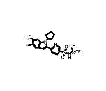 Cc1cc2c(cc1F)cc(-c1ccc(S(=O)(=O)N[C@@H](C)C(F)(F)F)cn1)n2C1CCCC1